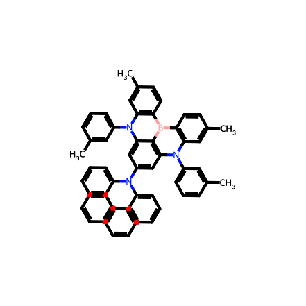 Cc1cccc(N2c3cc(C)ccc3B3c4ccc(C)cc4N(c4cccc(C)c4)c4cc(N(c5ccccc5-c5ccccc5)c5ccccc5-c5ccccc5)cc2c43)c1